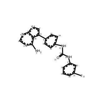 Nc1ncnc2scc(-c3ccc(NC(=O)Nc4cccc(F)c4)cc3)c12